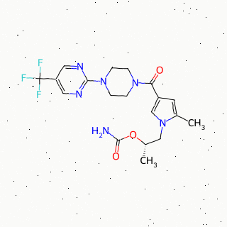 Cc1cc(C(=O)N2CCN(c3ncc(C(F)(F)F)cn3)CC2)cn1C[C@H](C)OC(N)=O